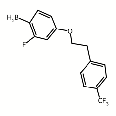 Bc1ccc(OCCc2ccc(C(F)(F)F)cc2)cc1F